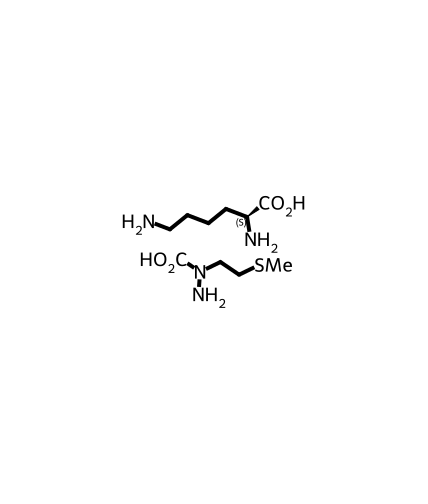 CSCCN(N)C(=O)O.NCCCC[C@H](N)C(=O)O